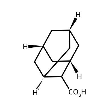 O=C(O)C1[C@H]2C[C@H]3C[C@H](C2)C[C@H]1C3